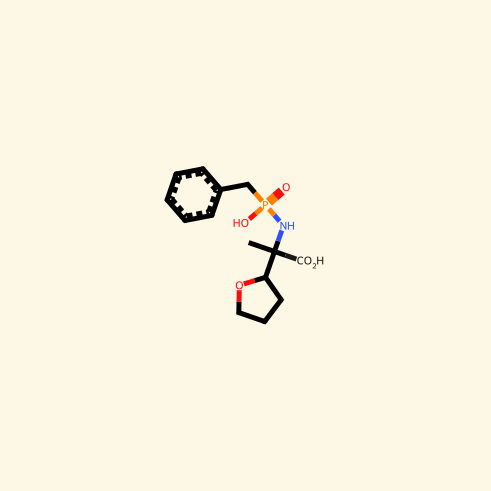 CC(NP(=O)(O)Cc1ccccc1)(C(=O)O)C1CCCO1